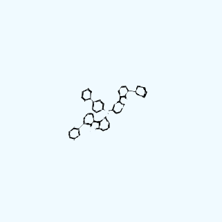 c1ccc(-c2ccc(N(c3ccc4sc5c(-c6ccccc6)cccc5c4c3)c3cccc4oc5c(-c6ccccc6)cccc5c34)cc2)cc1